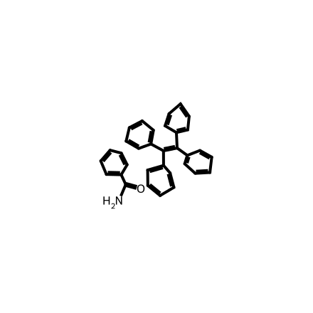 NC(=O)c1ccccc1.c1ccc(C(=C(c2ccccc2)c2ccccc2)c2ccccc2)cc1